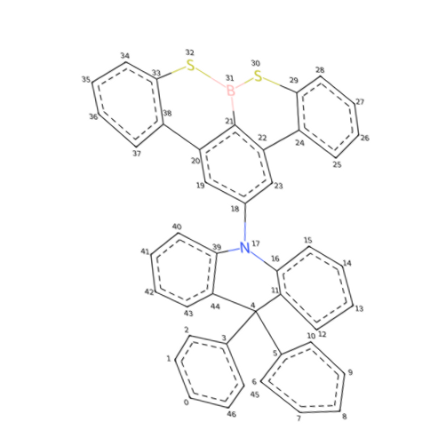 c1ccc(C2(c3ccccc3)c3ccccc3N(c3cc4c5c(c3)-c3ccccc3SB5Sc3ccccc3-4)c3ccccc32)cc1